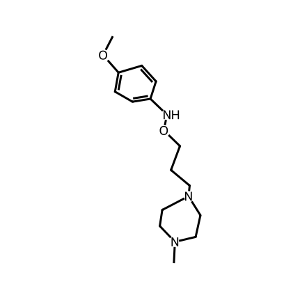 COc1ccc(NOCCCN2CCN(C)CC2)cc1